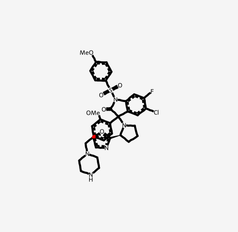 COc1ccc(S(=O)(=O)N2C(=O)C(c3ccc(CN4CCNCC4)cc3OC)(N3CCC[C@H]3c3ncco3)c3cc(Cl)c(F)cc32)cc1